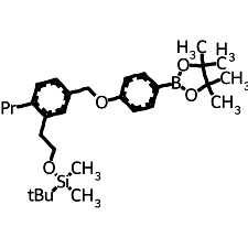 CC(C)c1ccc(COc2ccc(B3OC(C)(C)C(C)(C)O3)cc2)cc1CCO[Si](C)(C)C(C)(C)C